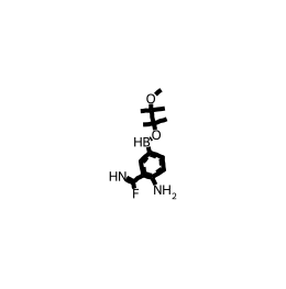 COC(C)(C)C(C)(C)OBc1ccc(N)c(C(=N)F)c1